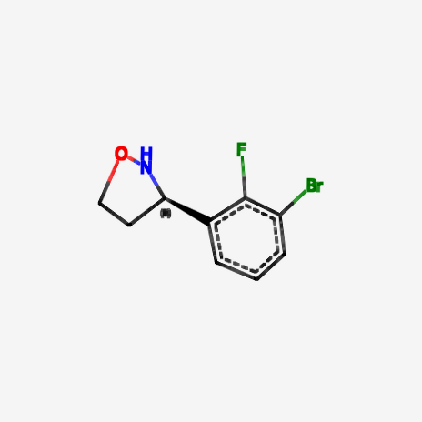 Fc1c(Br)cccc1[C@H]1CCON1